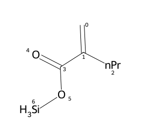 C=C(CCC)C(=O)O[SiH3]